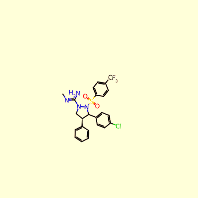 CN=C(N)N1C[C@H](c2ccccc2)C(c2ccc(Cl)cc2)N1S(=O)(=O)c1ccc(C(F)(F)F)cc1